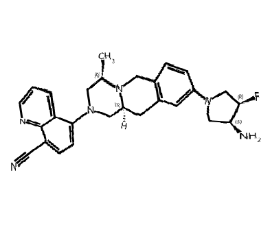 C[C@@H]1CN(c2ccc(C#N)c3ncccc23)C[C@@H]2Cc3cc(N4C[C@@H](F)[C@@H](N)C4)ccc3CN21